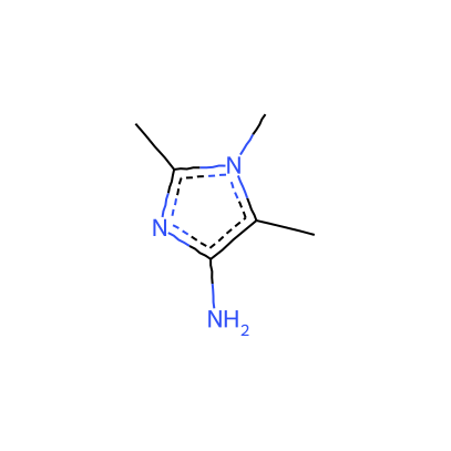 Cc1nc(N)c(C)n1C